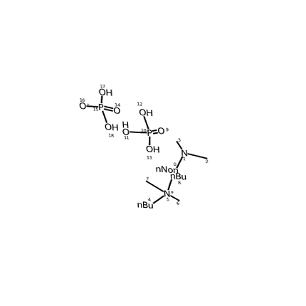 CCCCCCCCCN(C)C.CCCC[N+](C)(C)CCCC.O=P(O)(O)O.O=P([O-])(O)O